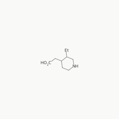 CCC1CNCCC1CC(=O)O